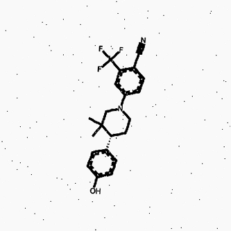 CC1(C)CN(c2ccc(C#N)c(C(F)(F)F)c2)CC[C@@H]1c1ccc(O)cc1